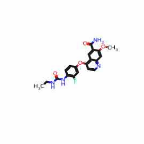 CCNC(=O)Nc1ccc(Oc2ccnc3cc(OC)c(C(N)=O)cc23)cc1F